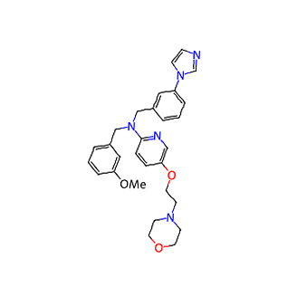 COc1cccc(CN(Cc2cccc(-n3ccnc3)c2)c2ccc(OCCN3CCOCC3)cn2)c1